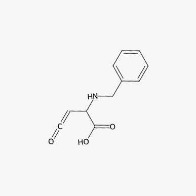 O=C=CC(NCc1ccccc1)C(=O)O